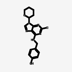 Oc1ccc(CNc2nc(Cl)nc3c2ncn3C2CCCCO2)cc1